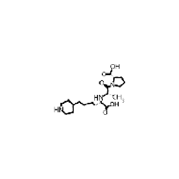 C[C@H](N[C@@H](CCCCC1CCNCC1)C(=O)O)C(=O)N1CCC[C@H]1C(=O)O